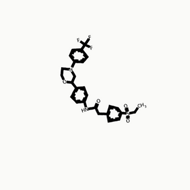 CCS(=O)(=O)c1ccc(CC(=O)Nc2ccc(C3CN(c4ccc(C(F)(F)F)cc4)CCO3)cc2)cc1